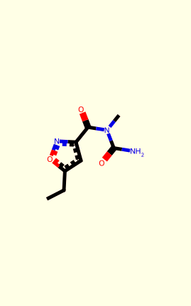 CCc1cc(C(=O)N(C)C(N)=O)no1